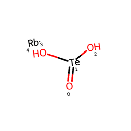 O=[Te](O)O.[Rb]